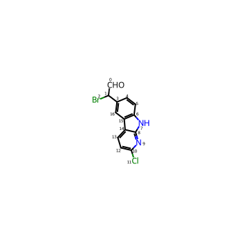 O=CC(Br)c1ccc2[nH]c3nc(Cl)ccc3c2c1